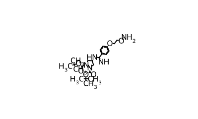 CC(C)(C)OC(=O)N1CC(NC(=N)c2ccc(OCCON)cc2)CN1C(=O)OC(C)(C)C